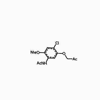 COc1cc(Cl)c(OCC(C)=O)cc1NC(C)=O